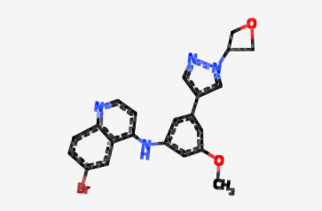 COc1cc(Nc2ccnc3ccc(Br)cc23)cc(-c2cnn(C3COC3)c2)c1